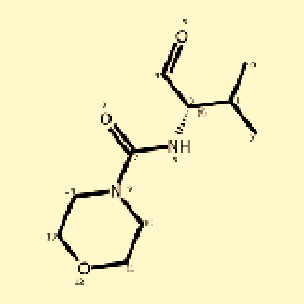 CC(C)[C@@H]([C]=O)NC(=O)N1CCOCC1